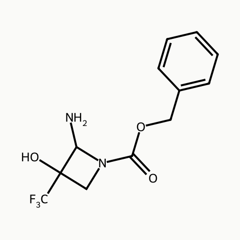 NC1N(C(=O)OCc2ccccc2)CC1(O)C(F)(F)F